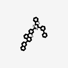 c1ccc(-c2cccc(-c3nc(-c4ccc5c(c4)Sc4ccc(-c6ccc7ccccc7c6)c6cccc-5c46)nc4c3sc3ccccc34)c2)cc1